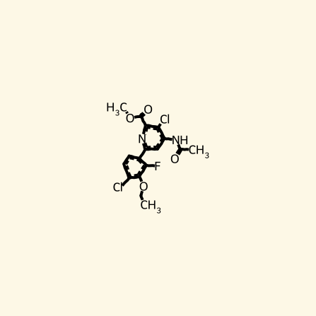 CCOc1c(Cl)ccc(-c2cc(NC(C)=O)c(Cl)c(C(=O)OC)n2)c1F